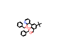 CC(C)(C)c1cc(C=O)c(OCc2ccccc2)c(-c2cccnc2OCc2ccccc2)c1